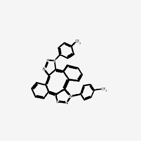 FC(F)(F)c1ccc(-n2nnc3/c2=c2/cccc/c2=c2/c(nnn2-c2ccc(C(F)(F)F)cc2)=c2/cccc/c2=3)cc1